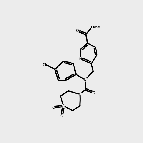 COC(=O)c1ccc(CN(C(=O)N2CCS(=O)(=O)CC2)c2ccc(Cl)cc2)nc1